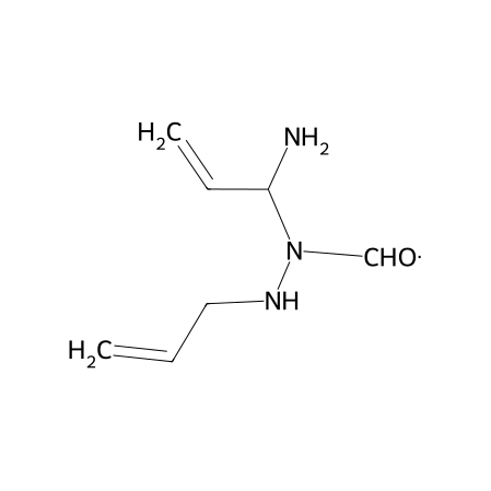 C=CCNN([C]=O)C(N)C=C